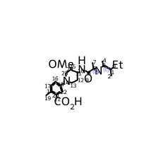 CC/C(C)=C(C)/N=C(\C)C(=O)NC1CCN(c2ccc(C)c(C(=O)O)c2)CC1OC